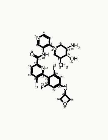 C[C@H]1CN(c2ccncc2NC(=O)c2ccc(F)c(-c3c(F)cc(OC4COC4)cc3F)n2)C[C@@H](N)[C@@H]1O